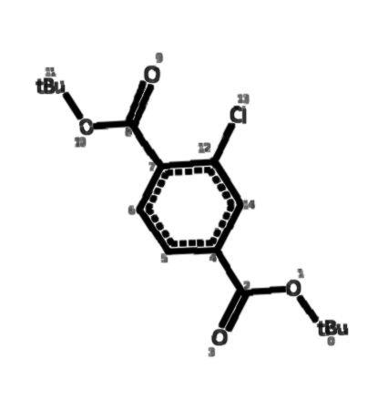 CC(C)(C)OC(=O)c1ccc(C(=O)OC(C)(C)C)c(Cl)c1